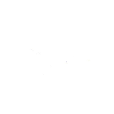 CC[N+](CC)=c1ccc2nc3ccc(/N=N/c4ccc(O)cc4)cc3n(CC[n+]3ccn(CCS)c3)c-2c1